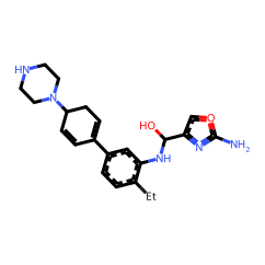 CCc1ccc(C2=CCC(N3CCNCC3)C=C2)cc1NC(O)c1coc(N)n1